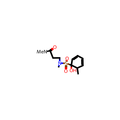 CNC(=O)CCN(C)S(=O)(=O)C1(O)C=CC=CC1C